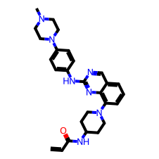 C=CC(=O)NC1CCN(c2cccc3cnc(Nc4ccc(N5CCN(C)CC5)cc4)nc23)CC1